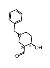 O=C[C@H]1CN(Cc2ccccc2)CC[C@H]1O